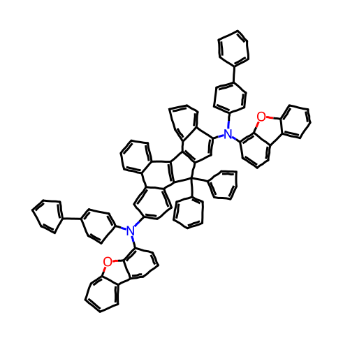 c1ccc(-c2ccc(N(c3ccc4c5c(c6ccccc6c4c3)-c3c(cc(N(c4ccc(-c6ccccc6)cc4)c4cccc6c4oc4ccccc46)c4ccccc34)C5(c3ccccc3)c3ccccc3)c3cccc4c3oc3ccccc34)cc2)cc1